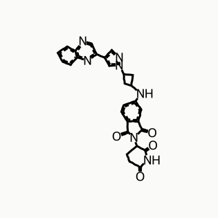 O=C1CCC(N2C(=O)c3ccc(NC4CC(n5cc(-c6cnc7ccccc7n6)cn5)C4)cc3C2=O)C(=O)N1